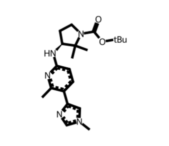 Cc1nc(N[C@H]2CCN(C(=O)OC(C)(C)C)C2(C)C)ccc1-c1cn(C)cn1